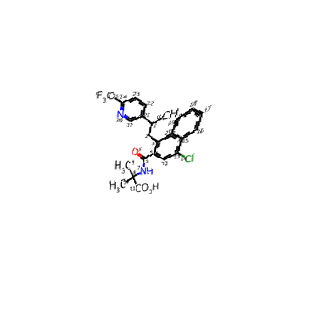 CC(Cc1c(C(=O)NC(C)(C)C(=O)O)cc(Cl)c2ccccc12)c1ccc(C(F)(F)F)nc1